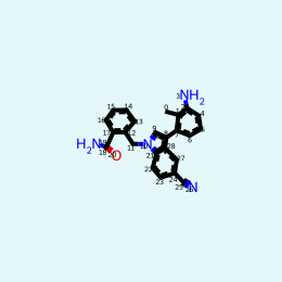 Cc1c(N)cccc1-c1cn(Cc2ccccc2C(N)=O)c2ccc(C#N)cc12